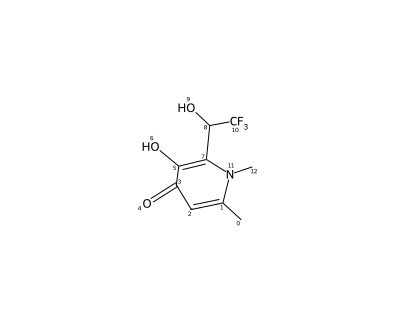 Cc1cc(=O)c(O)c(C(O)C(F)(F)F)n1C